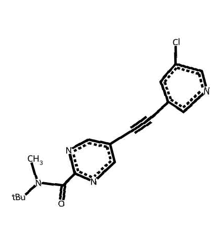 CN(C(=O)c1ncc(C#Cc2cncc(Cl)c2)cn1)C(C)(C)C